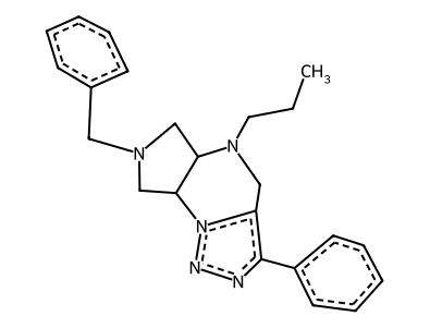 CCCN1Cc2c(-c3ccccc3)nnn2C2CN(Cc3ccccc3)CC21